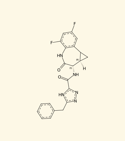 O=C(N[C@@H]1C(=O)Nc2c(F)cc(F)cc2C2C[C@H]21)c1nnc(Cc2ccccc2)[nH]1